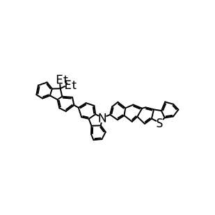 CCC1(CC)c2ccccc2-c2ccc(-c3ccc4c(c3)c3ccccc3n4-c3ccc4cc5cc6c(cc5cc4c3)sc3ccccc36)cc21